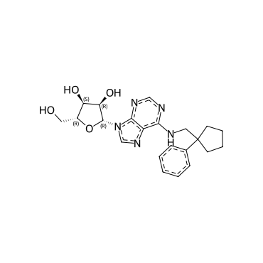 OC[C@H]1O[C@@H](n2cnc3c(NCC4(c5ccccc5)CCCC4)ncnc32)[C@H](O)[C@@H]1O